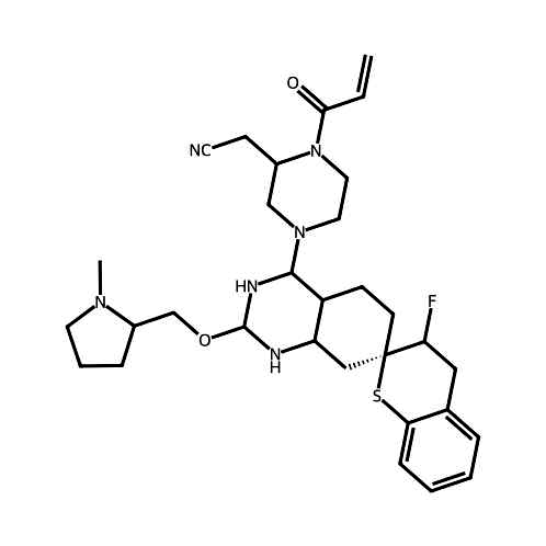 C=CC(=O)N1CCN(C2NC(OCC3CCCN3C)NC3C[C@@]4(CCC32)Sc2ccccc2CC4F)CC1CC#N